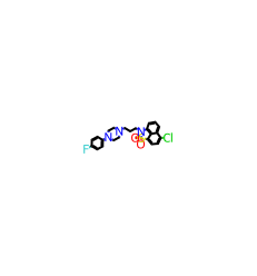 O=S1(=O)c2ccc(Cl)c3cccc(c23)N1CCCN1CCN(c2ccc(F)cc2)CC1